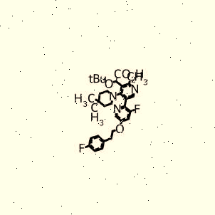 Cc1ncc(-c2ncc(OCCc3ccc(F)cc3)cc2F)c(N2CCC(C)(C)CC2)c1[C@H](OC(C)(C)C)C(=O)O